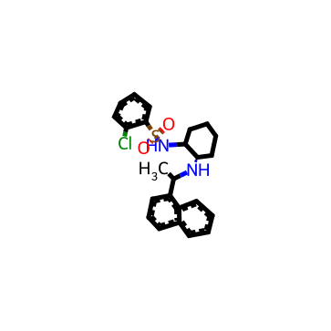 CC(N[C@H]1CCCCC1NS(=O)(=O)c1ccccc1Cl)c1cccc2ccccc12